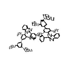 CC(C)c1cc(-c2cc(C(C)(C)C)cc(C(C)(C)C)c2)cc(C(C)C)c1-n1c(-c2cccc(Oc3cccc(-c4nc5ccccc5n4-c4c(C(C)C)cc(-c5cc(C(C)(C)C)cc(C(C)(C)C)c5)cc4C(C)C)c3)c2)nc2ccccc21